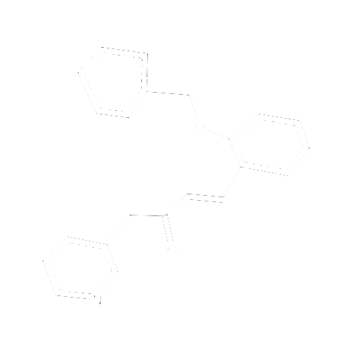 O=C(C=Cc1ccccc1OCc1ccccc1)Cc1cccnc1